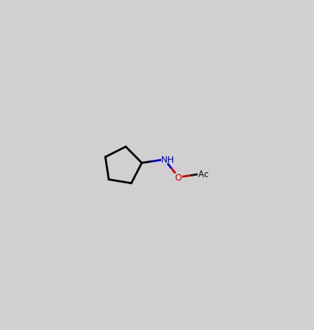 CC(=O)ONC1CCCC1